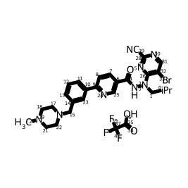 CC(C)CN(NC(=O)c1ccc(-c2cccc(CN3CCN(C)CC3)c2)nc1)c1nc(C#N)ncc1Br.O=C(O)C(F)(F)F